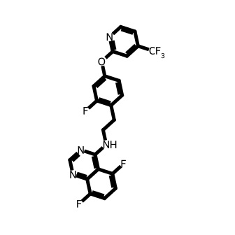 Fc1cc(Oc2cc(C(F)(F)F)ccn2)ccc1CCNc1ncnc2c(F)ccc(F)c12